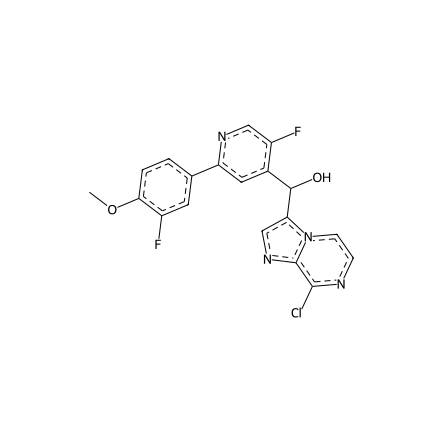 COc1ccc(-c2cc(C(O)c3cnc4c(Cl)nccn34)c(F)cn2)cc1F